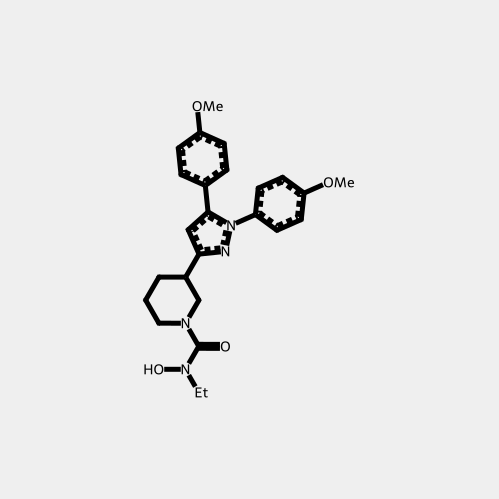 CCN(O)C(=O)N1CCCC(c2cc(-c3ccc(OC)cc3)n(-c3ccc(OC)cc3)n2)C1